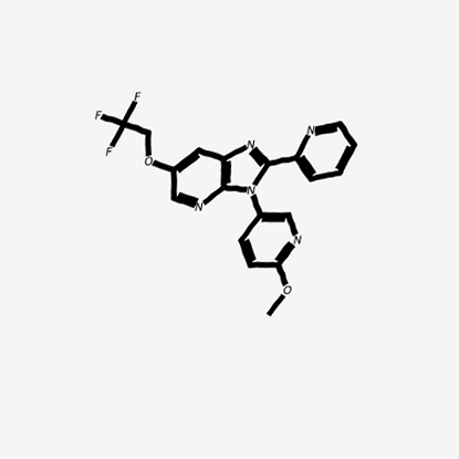 COc1ccc(-n2c(-c3ccccn3)nc3cc(OCC(F)(F)F)cnc32)cn1